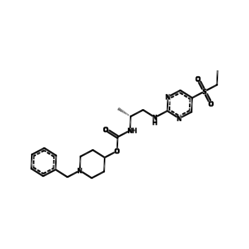 CCS(=O)(=O)c1cnc(NC[C@@H](C)NC(=O)OC2CCN(Cc3ccccc3)CC2)nc1